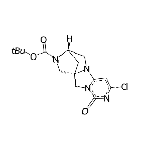 CC(C)(C)OC(=O)N1C[C@]23C[C@H]1CN2c1cc(Cl)nc(=O)n1C3